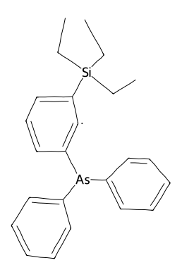 CC[Si](CC)(CC)c1[c]c([As](c2ccccc2)c2ccccc2)ccc1